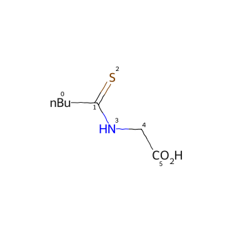 CCCCC(=S)NCC(=O)O